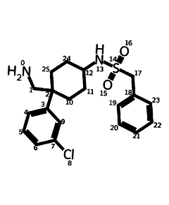 NCC1(c2cccc(Cl)c2)CCC(NS(=O)(=O)Cc2ccccc2)CC1